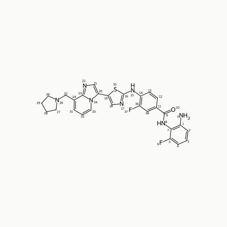 Nc1cccc(F)c1NC(=O)c1ccc(Nc2ncc(-c3cnc4c(CN5CCCC5)cccn34)s2)c(F)c1